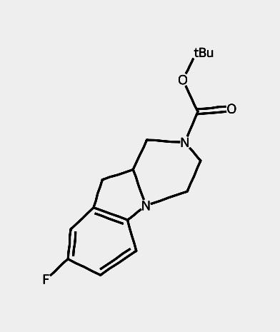 CC(C)(C)OC(=O)N1CCN2c3ccc(F)cc3CC2C1